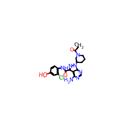 C=CC(=O)N1CCC[C@@H](n2nc(C(=O)Nc3ccc(O)cc3Cl)c3c(N)ncnc32)C1